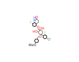 COc1ccc(COC2(c3ccc(Cl)cc3F)CCC(O)(COc3ccc(F)c4c3CCC(=O)N4)C(O)C2)cc1